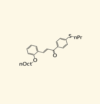 CCCCCCCCOc1ccccc1C=CC(=O)c1ccc(SCCC)cc1